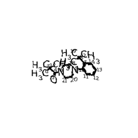 CC(C)(C)C(=O)N1CCN(c2ccccc2C(C)(C)C)CC1